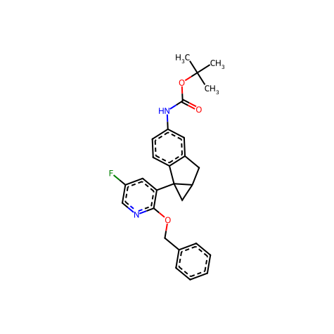 CC(C)(C)OC(=O)Nc1ccc2c(c1)CC1CC21c1cc(F)cnc1OCc1ccccc1